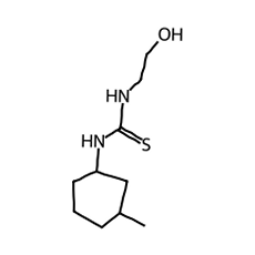 CC1CCCC(NC(=S)NCCO)C1